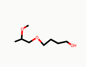 [CH2]C(COCCCCO)OC